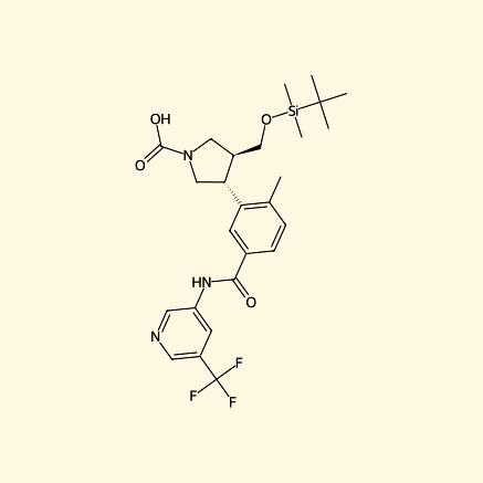 Cc1ccc(C(=O)Nc2cncc(C(F)(F)F)c2)cc1[C@@H]1CN(C(=O)O)C[C@H]1CO[Si](C)(C)C(C)(C)C